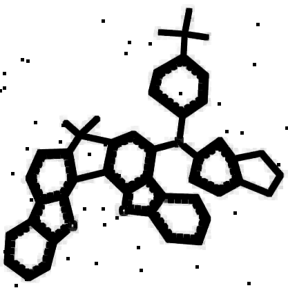 CC(C)(C)c1ccc(N(c2ccc3c(c2)CCC3)c2cc3c(c4oc5ccccc5c24)-c2c(ccc4c2oc2ccccc24)C3(C)C)cc1